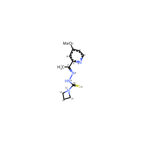 COc1ccnc(C(C)=NNC(=S)N2CCC2)c1